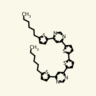 CCCCCCc1ccc(-c2cc(-c3ccc(-c4ccc(-c5cc(-c6ccc(CCCCCC)s6)ncn5)s4)s3)ncn2)s1